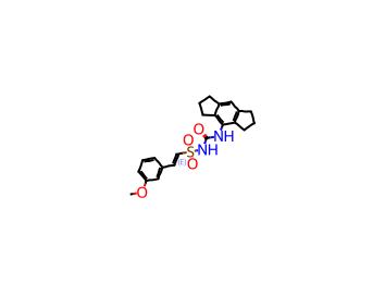 COc1cccc(/C=C/S(=O)(=O)NC(=O)Nc2c3c(cc4c2CCC4)CCC3)c1